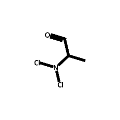 CC([C]=O)N(Cl)Cl